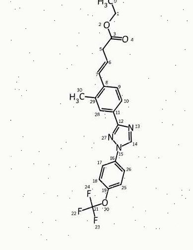 CCOC(=O)C/C=C/c1ccc(-c2ncn(-c3ccc(OC(F)(F)F)cc3)n2)cc1C